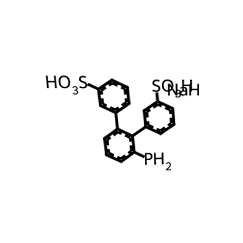 O=S(=O)(O)c1cccc(-c2cccc(P)c2-c2cccc(S(=O)(=O)O)c2)c1.[NaH]